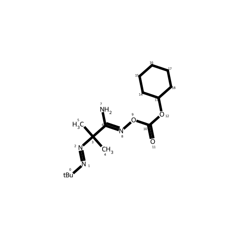 CC(C)(C)N=NC(C)(C)C(N)=NOC(=O)OC1CCCCC1